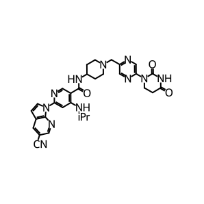 CC(C)Nc1cc(-n2ccc3cc(C#N)cnc32)ncc1C(=O)NC1CCN(Cc2cnc(N3CCC(=O)NC3=O)cn2)CC1